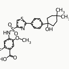 COc1cc(C(=O)O)c(F)cc1NS(=O)(=O)c1csc(-c2ccc(C3(O)CCC(C)(C)CC3)cc2)n1